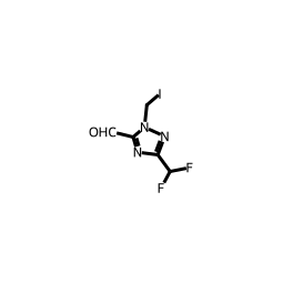 O=Cc1nc(C(F)F)nn1CI